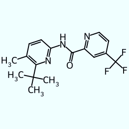 Cc1ccc(NC(=O)c2cc(C(F)(F)F)ccn2)nc1C(C)(C)C